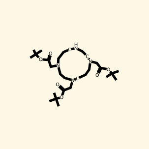 CC(C)(C)OC(=O)CN1CCCN(CC(=O)OC(C)(C)C)CCN(CC(=O)OC(C)(C)C)CCCNCC1